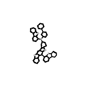 C1=CC2Sc3c(-c4c5oc6ccc(N(c7cccc(-c8ccccc8)c7)c7cccc8c7oc7ccccc78)cc6c5cc5oc6ccccc6c45)cccc3C2CC1